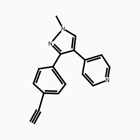 C#Cc1ccc(-c2nn(C)cc2-c2ccncc2)cc1